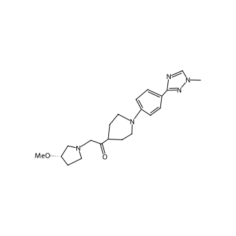 CO[C@H]1CCN(CC(=O)C2CCN(c3ccc(-c4ncn(C)n4)cc3)CC2)C1